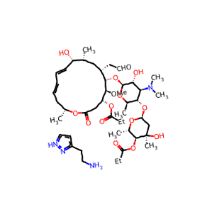 CCC(=O)O[C@@H]1CC(=O)O[C@H](C)C/C=C/C=C/[C@H](O)[C@H](C)C[C@H](CC=O)[C@H](O[C@@H]2O[C@H](C)[C@@H](O[C@H]3C[C@@](C)(O)[C@@H](OC(=O)CC)[C@H](C)O3)[C@H](N(C)C)[C@H]2O)[C@H]1OC.NCCc1cc[nH]n1